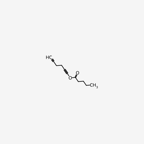 C#CCCC#COC(=O)CCCC